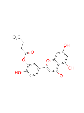 O=C(O)CCC(=O)Oc1cc(-c2cc(=O)c3c(O)cc(O)cc3o2)ccc1O